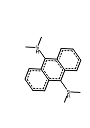 C[SiH](C)c1c2ccccc2c([SiH](C)C)c2ccccc12